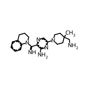 CC1(CN)CCN(c2cnc(C(=N)N3CCCc4ccccc43)c(N)n2)CC1